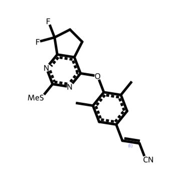 CSc1nc(Oc2c(C)cc(/C=C/C#N)cc2C)c2c(n1)C(F)(F)CC2